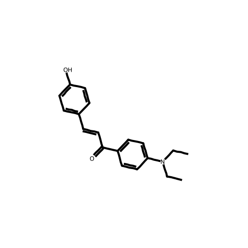 CCN(CC)c1ccc(C(=O)C=Cc2ccc(O)cc2)cc1